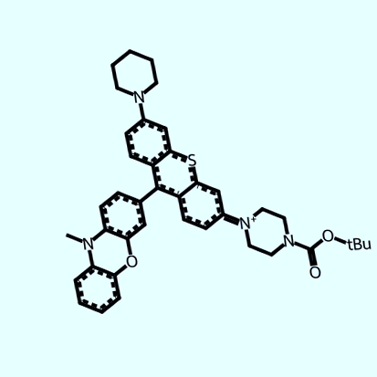 CN1c2ccccc2Oc2cc(-c3c4ccc(=[N+]5CCN(C(=O)OC(C)(C)C)CC5)cc-4sc4cc(N5CCCCC5)ccc34)ccc21